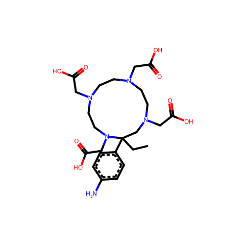 CCC1(c2ccc(N)cc2)CN(CC(=O)O)CCN(CC(=O)O)CCN(CC(=O)O)CCN1CC(=O)O